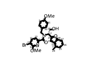 COc1ccc(CN(C(=O)c2ccc(Br)c(OC)n2)[C@H](CO)c2cc3c(C)cccc3o2)cc1